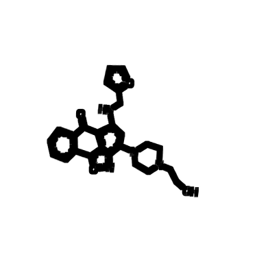 O=C1c2ccccc2-c2onc3c(N4CCN(CCO)CC4)cc(NCc4ccco4)c1c23